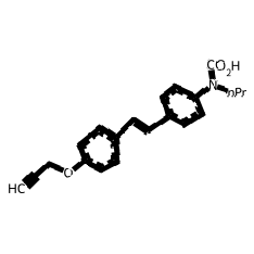 C#CCOc1ccc(/C=C/c2ccc(N(CCC)C(=O)O)cc2)cc1